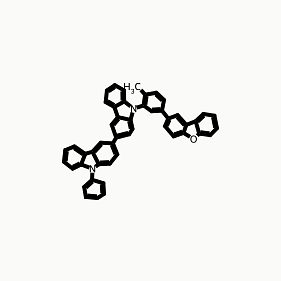 Cc1ccc(-c2ccc3oc4ccccc4c3c2)cc1-n1c2ccccc2c2cc(-c3ccc4c(c3)c3ccccc3n4-c3ccccc3)ccc21